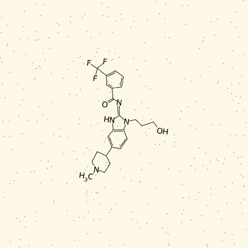 CN1CCC(c2ccc3c(c2)[nH]/c(=N\C(=O)c2cccc(C(F)(F)F)c2)n3CCCO)CC1